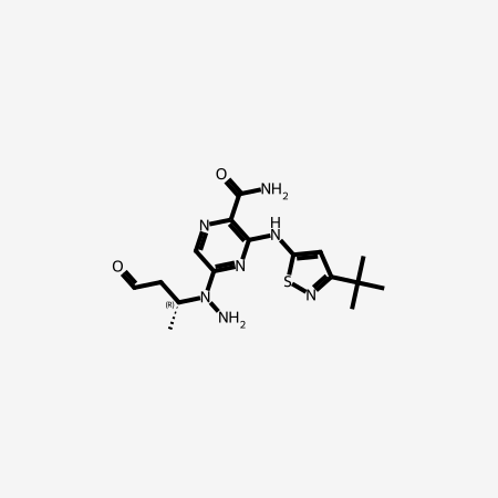 C[C@H](CC=O)N(N)c1cnc(C(N)=O)c(Nc2cc(C(C)(C)C)ns2)n1